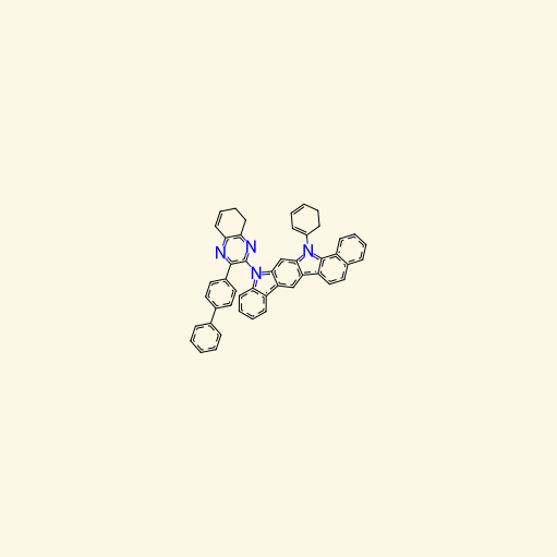 C1=CCCC(n2c3cc4c(cc3c3ccc5ccccc5c32)c2ccccc2n4-c2nc3c(nc2-c2ccc(-c4ccccc4)cc2)C=CCC3)=C1